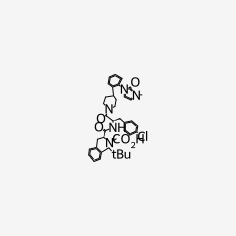 Cn1ccn(-c2ccccc2C2CCN(C(=O)[C@@H](Cc3ccc(Cl)cc3)NC(=O)[C@@H]3Cc4ccccc4C(C(C)(C)C)N3C(=O)O)CC2)c1=O